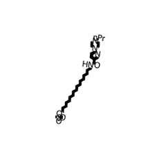 CCCN1CCN(c2ccc(C(=O)NCCCCCCCCCCCCCCCCCOS(C)(=O)=O)cn2)CC1